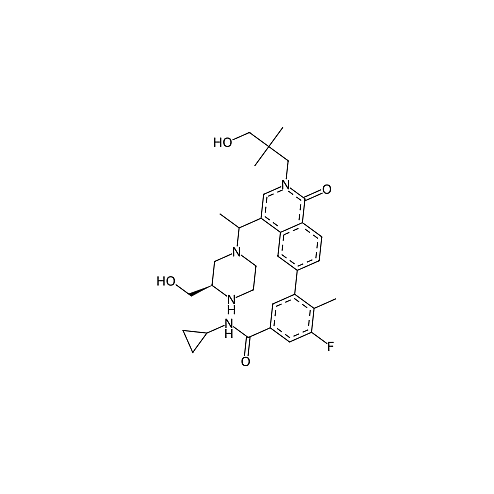 Cc1c(F)cc(C(=O)NC2CC2)cc1-c1ccc2c(=O)n(CC(C)(C)CO)cc(C(C)N3CCN[C@@H](CO)C3)c2c1